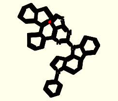 c1ccc(-n2ccc3c2ccc2c4ccccc4n(-c4nc(-c5ccccc5-c5cccc6ccccc56)c5ccsc5n4)c23)cc1